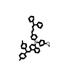 COc1ccc(N(c2ccc(/C=C/C=C(c3ccccc3)c3ccccc3)cc2)c2ccc(C=C(c3ccc(C)cc3)c3ccc(C)cc3)c3ccccc23)cc1